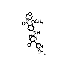 COc1cc(Nc2ncc(Cl)c(-c3cnn(C)c3)n2)ccc1C(=O)N1CCOCC1